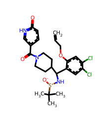 C=CCOc1cc(Cl)c(Cl)cc1C(N[S+]([O-])C(C)(C)C)C1CCN(C(=O)c2ccc(=O)[nH]c2)CC1